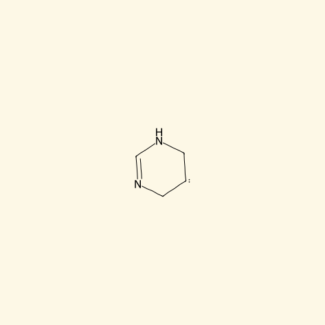 [C]1CN=CNC1